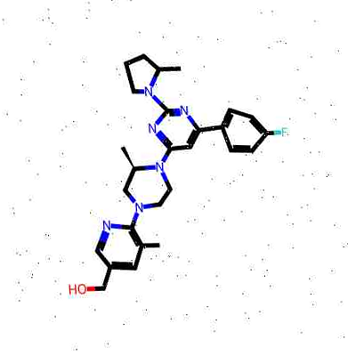 Cc1cc(CO)cnc1N1CCN(c2cc(-c3ccc(F)cc3)nc(N3CCCC3C)n2)[C@H](C)C1